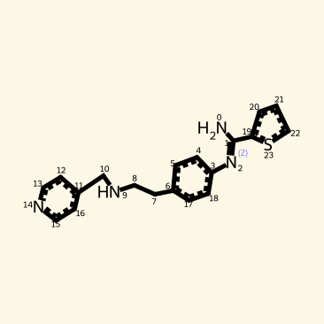 N/C(=N\c1ccc(CCNCc2ccncc2)cc1)c1cccs1